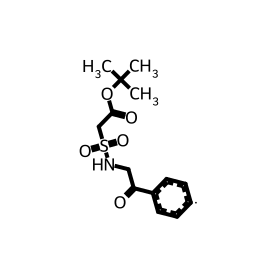 CC(C)(C)OC(=O)CS(=O)(=O)NCC(=O)c1cc[c]cc1